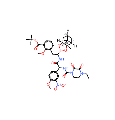 CCN1CCN(C(=O)NC(C(=O)NC(Cc2cccc(C(=O)OC(C)(C)C)c2OC)B2O[C@@H]3C[C@@H]4C[C@@H](C4(C)C)[C@]3(C)O2)c2ccc(OC)c([N+](=O)[O-])c2)C(=O)C1=O